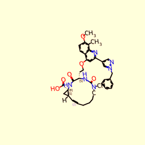 COc1ccc2c(OCC[C@@H]3NC(=O)N(C)CCCC/C=C\[C@@H]4C[C@@]4(C(=O)O)NC3=O)cc(-c3cnn(Cc4ccccc4)c3)nc2c1C